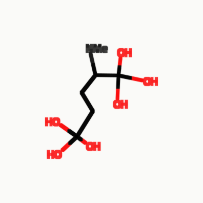 CNC(CCC(O)(O)O)C(O)(O)O